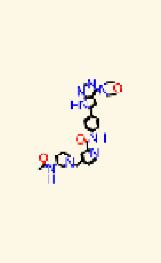 CC(=O)N[C@@H]1CCCN(Cc2ccnc(C(=O)Nc3ccc(-c4cc5c(N6CCOCC6)ncnc5[nH]4)cc3)c2)C1